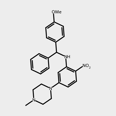 COc1ccc(C(Nc2cc(N3CCN(C)CC3)ccc2[N+](=O)[O-])c2ccccc2)cc1